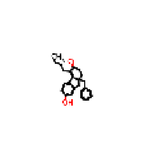 CCCCC1=C2c3ccc(O)cc3CC2(Cc2ccccc2)CCC1=O